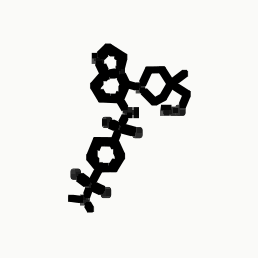 COCC1(C)CCN(c2c(NS(=O)(=O)c3ccc(S(=O)(=O)N(C)C)cc3)ccc3nccn23)CC1